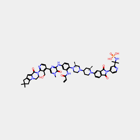 C=CC(=O)Nc1cc(Nc2nc(-c3ccnc(N4CCn5c(cc6c5CC(C)(C)C6)C4=O)c3CO)cn(C)c2=O)ccc1N1CCN(C2CCN(c3ccc4c(c3)C(=O)N(c3ccnc(C(C)(C)NP(=O)(O)O)c3)C4=O)[C@H](C)C2)C[C@@H]1C